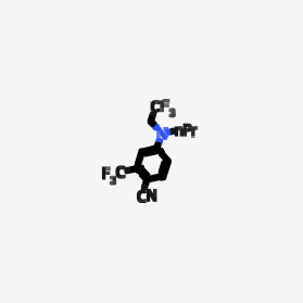 CCCN(CC(F)(F)F)c1ccc(C#N)c(C(F)(F)F)c1